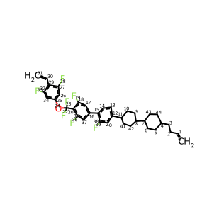 C=CCCC1CCC(C2CCC(c3ccc(-c4cc(F)c(C(F)(F)Oc5cc(F)c(C=C)c(F)c5)c(F)c4)c(F)c3)CC2)CC1